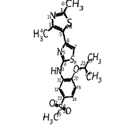 Cc1nc(C)c(-c2csc(Nc3cc(S(C)(=O)=O)ccc3OC(C)C)n2)s1